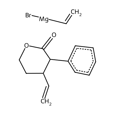 C=CC1CCOC(=O)C1c1ccccc1.C=[CH][Mg][Br]